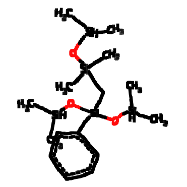 C[SiH](C)O[Si](C)(C)C[Si](O[SiH](C)C)(O[SiH](C)C)c1ccccc1